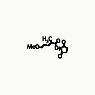 COCCCC(C)C(=O)ON1C(=O)CCC1=O